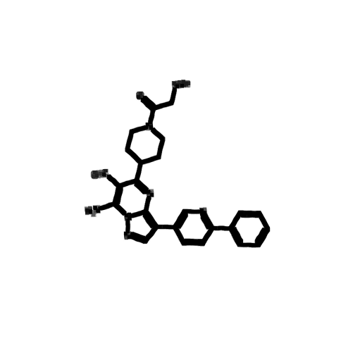 CNCC(=O)N1CCC(c2nc3c(-c4ccc(-c5ccccc5)nc4)cnn3c(N)c2C=O)CC1